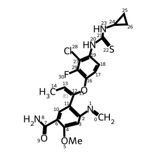 C=Nc1cc(OC)c(C(N)=O)cc1/C(=C\C)Oc1ccc(NC(=S)NC2CC2)c(Cl)c1F